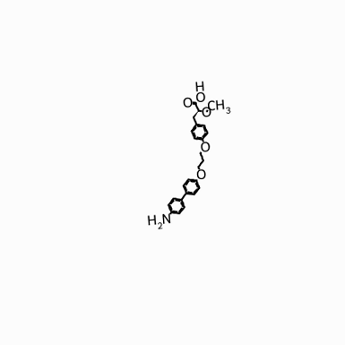 CO[C@@H](Cc1ccc(OCCCOc2ccc(-c3ccc(N)cc3)cc2)cc1)C(=O)O